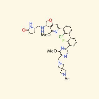 COc1nc(-c2cccc(-c3cccc(-c4cc5c(c(OC)n4)C(NCC4CCC(=O)N4)CO5)c3Cl)c2F)cnc1CN1CC2(C1)CN(C(C)=O)C2